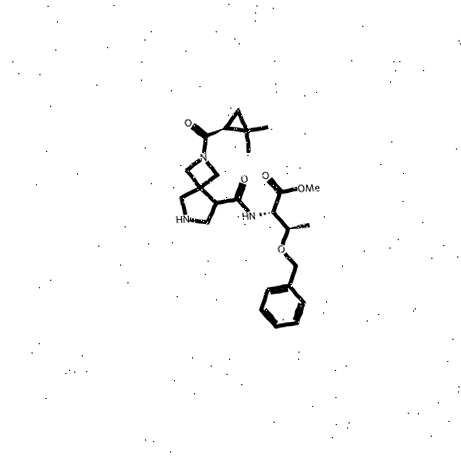 COC(=O)[C@@H](NC(=O)C1CNCC12CN(C(=O)[C@H]1CC1(C)C)C2)[C@@H](C)OCc1ccccc1